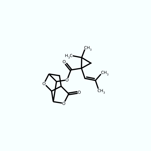 CC(C)=CC1(C(=O)OC2C3CC4C(=O)OC2C4O3)CC1(C)C